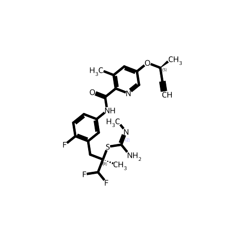 C#C[C@H](C)Oc1cnc(C(=O)Nc2ccc(F)c(C[C@@](C)(S/C(N)=N\C)C(F)F)c2)c(C)c1